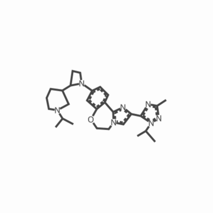 Cc1nc(-c2cn3c(n2)-c2ccc(N4CCC4C4CCCN(C(C)C)C4)cc2OCC3)n(C(C)C)n1